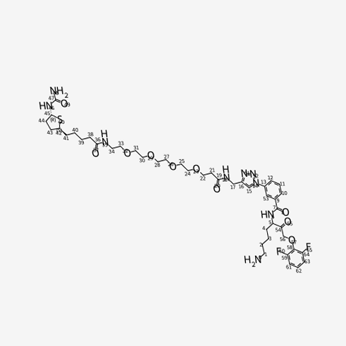 NCCCCC(NC(=O)c1cccc(-n2cc(CNC(=O)CCOCCOCCOCCOCCNC(=O)CCCC[C@H]3CC[C@H](NC(N)=O)S3)nn2)c1)C(=O)COc1c(F)cccc1F